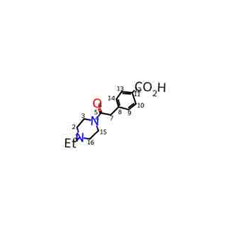 CCN1CCN(C(=O)Cc2ccc(C(=O)O)cc2)CC1